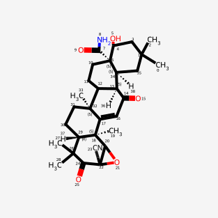 CC1(C)CC(O)[C@]2(C(N)=O)CCC3[C@H](C(=O)C=C4[C@@]5(C)C6OC6(C#N)C(=O)C(C)(C)[C@@H]5CC[C@]43C)[C@@H]2C1